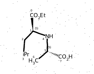 CCOC(=O)[C@H](CC(C)C)N[C@@H](C)C(=O)O